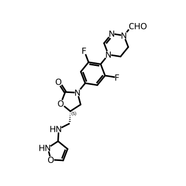 O=CN1CCN(c2c(F)cc(N3C[C@H](CNC4C=CON4)OC3=O)cc2F)C=N1